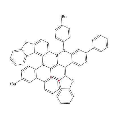 CC(C)(C)c1ccc(N2B3c4ccc5sc6ccccc6c5c4N(c4ccc(C(C)(C)C)cc4-c4ccccc4)c4cc5c(sc6ccccc65)c(c43)-c3ccc(-c4ccccc4)cc32)cc1